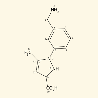 NCc1cccc(N2NC(C(=O)O)C=C2C(F)(F)F)c1